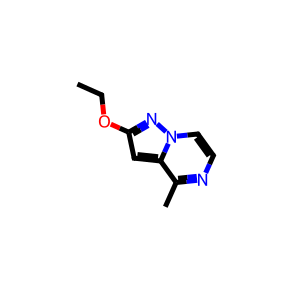 CCOc1cc2c(C)nccn2n1